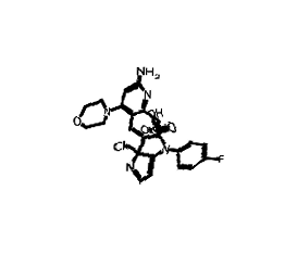 Nc1cc(N2CCOCC2)c2cc(C3(Cl)N=[C]C=C3N(c3ccc(F)cc3)S(=O)(=O)O)ccc2n1